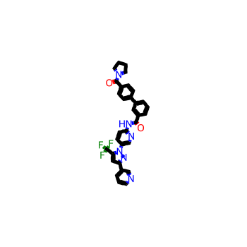 O=C(Nc1ccc(-n2nc(-c3cccnc3)cc2C(F)(F)F)cn1)c1cccc(-c2ccc(C(=O)N3CCCC3)cc2)c1